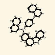 c1ccc2c(-c3ccc(N(c4ccc5ccc6sc7ccccc7c6c5c4)c4cccc5ccccc45)cc3)cccc2c1